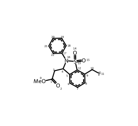 COC(=O)CC1c2cccc(CF)c2S(=O)(=O)N1c1ccccc1